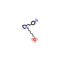 CN(C)c1ccc(/C=C/c2cccc[n+]2CCCCCCSS(=O)(=O)[O-])cc1